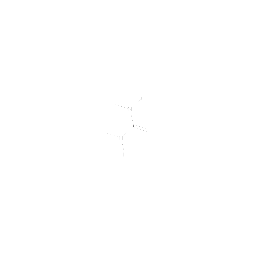 CCCN(CCC)C(=O)N(CC)CC